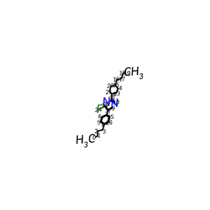 CCCCc1ccc(-c2cnc(C3CCC(CCCC)CC3)nc2F)cc1